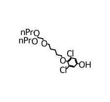 CCCOC(COCCCCCOc1c(Cl)cc(O)cc1Cl)OCCC